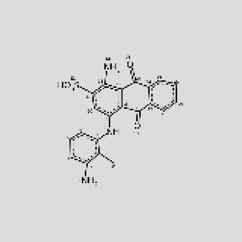 Cc1c(N)cccc1Nc1cc(S(=O)(=O)O)c(N)c2c1C(=O)c1ccccc1C2=O